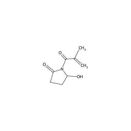 C=C(C)C(=O)N1C(=O)CCC1O